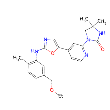 CCOCc1ccc(C)c(Nc2ncc(-c3ccnc(N4CC(C)(C)NC4=O)c3)o2)c1